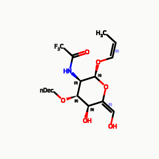 C/C=C\O[C@H]1O/C(=C/O)[C@@H](O)[C@H](OCCCCCCCCCC)[C@H]1NC(=O)C(F)(F)F